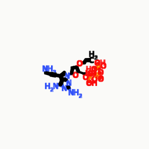 C=CCOC1C[C@H](n2cc(C#CCN)c3c(N)nc(N)nc32)O[C@@H]1COP(=O)(O)OP(=O)(O)OP(=O)(O)O